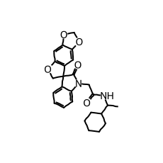 CC(NC(=O)CN1C(=O)C2(COc3cc4c(cc32)OCO4)c2ccccc21)C1CCCCC1